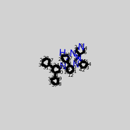 Nc1cnccc1N1CN(c2cccc3c2c2ccccc2n3-c2cc(-c3ccccc3)cc(-c3ccccc3)c2)c2ccccc21